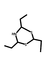 CCC1NC(CC)SC(CC)S1